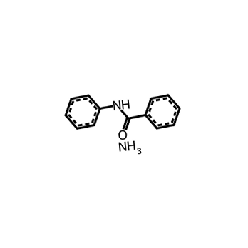 N.O=C(Nc1ccccc1)c1ccccc1